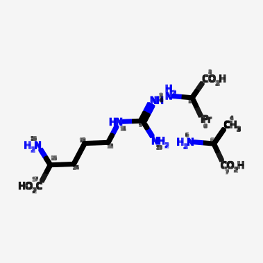 CC(C)C(N)C(=O)O.CC(N)C(=O)O.N=C(N)NCCCC(N)C(=O)O